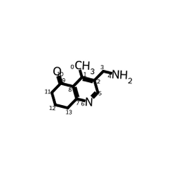 Cc1c(CN)cnc2c1C(=O)CCC2